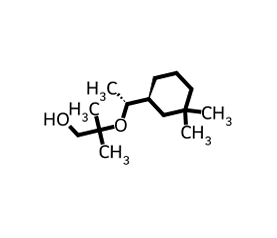 C[C@@H](OC(C)(C)CO)[C@H]1CCCC(C)(C)C1